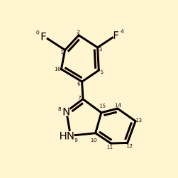 Fc1cc(F)cc(-c2n[nH]c3ccccc23)c1